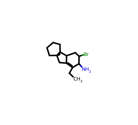 CCC1=C2CC3=C(CCCC3)C2CC(Br)C1N